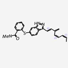 C=C(/C=C\C=C/C)/C=C/c1n[nH]c2cc(Sc3ccccc3C(=O)NC)ccc12